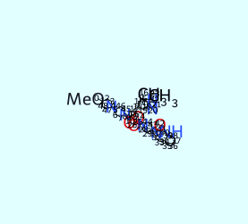 COC1CCN(C2CCN(C(=O)[C@@H](Cc3cc(C)c4c(c3)ncn4C)OC(=O)N3CCC(N4CCc5ccccc5NC4=O)CC3)CC2)CC1